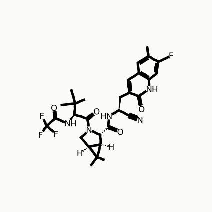 Cc1cc2cc(C[C@@H](C#N)NC(=O)[C@@H]3[C@@H]4[C@H](CN3C(=O)[C@@H](NC(=O)C(F)(F)F)C(C)(C)C)C4(C)C)c(=O)[nH]c2cc1F